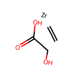 C=C.O=C(O)CO.[Zr]